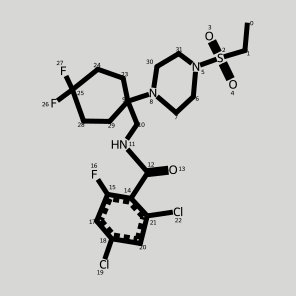 CCS(=O)(=O)N1CCN(C2(CNC(=O)c3c(F)cc(Cl)cc3Cl)CCC(F)(F)CC2)CC1